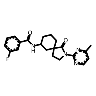 Cc1ccnc(N2CCC3(CCCC(NC(=O)c4cccc(F)c4)C3)C2=O)n1